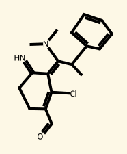 CC(/C(=C1/C(=N)CCC(C=O)=C1Cl)N(C)C)c1ccccc1